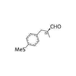 CSc1ccc(C[C@H](C)C=O)cc1